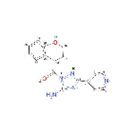 Nc1nc(-c2ccncc2)nn1C(=O)C1CCOc2ccccc21